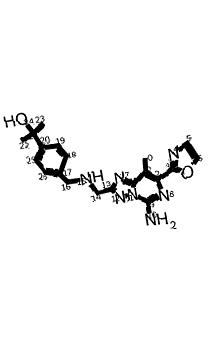 Cc1c(-c2ncco2)nc(N)n2nc(CNCc3ccc(C(C)(C)O)cc3)nc12